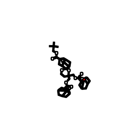 CC(C)(C)COC(=O)C12CC3CC(C1)C1(OCCC(COC(=O)C45CC6CC(C4)C(=O)C(C6)C5)(COC(=O)C45CC6CC(C4)C(=O)C(C6)C5)O1)C(C3)C2